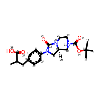 CC(Cc1ccc(N2C[C@@H]3CN(C(=O)OC(C)(C)C)CCN3C2=O)cc1)C(=O)O